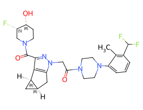 Cc1c(C(F)F)cccc1N1CCN(C(=O)Cn2nc(C(=O)N3CC[C@@H](O)[C@@H](F)C3)c3c2C[C@H]2C[C@@H]32)CC1